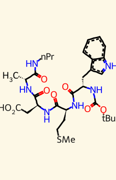 CCCNC(=O)[C@@H](C)NC(=O)[C@H](CC(=O)O)NC(=O)[C@H](CCSC)NC(=O)[C@H](Cc1c[nH]c2ccccc12)NC(=O)OC(C)(C)C